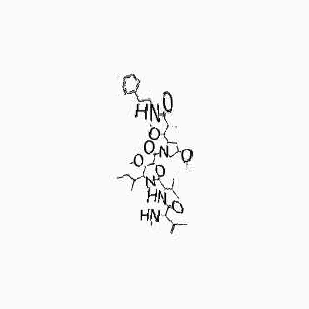 CCC(C)[C@@H]([C@H](CC(=O)N1CC(OC)CC1[C@H](OC)[C@@H](C)C(=O)NCCc1ccccc1)OC)N(C)C(=O)[C@@H](NC(=O)[C@@H](NC)C(C)C)C(C)C